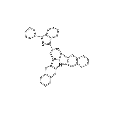 c1ccc(-c2sc(-c3cc4c5cc6ccccc6cc5n5c6cc7ccccc7cc6c(c3)c45)c3ccccc23)cc1